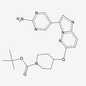 CC(C)(C)OC(=O)N1CCC(Oc2ccc3ncc(-c4cnc(N)nc4)n3n2)CC1